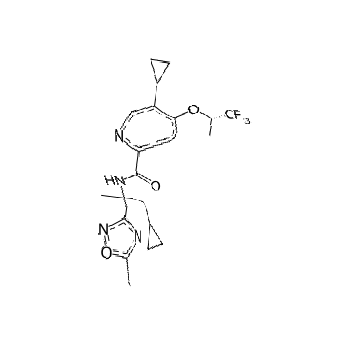 Cc1nc(C(C)(CC2CC2)NC(=O)c2cc(O[C@@H](C)C(F)(F)F)c(C3CC3)cn2)no1